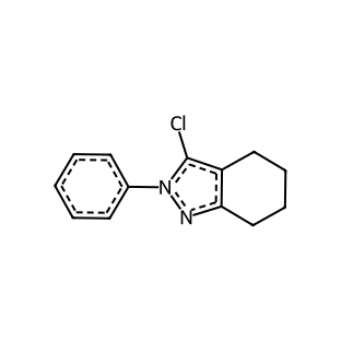 Clc1c2c(nn1-c1ccccc1)CCCC2